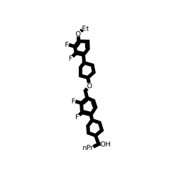 CCCC(O)C1CCC(c2ccc(COC3CCC(c4ccc(OCC)c(F)c4F)CC3)c(F)c2F)CC1